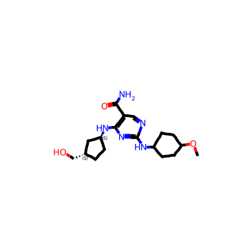 COC1CCC(Nc2ncc(C(N)=O)c(N[C@H]3CC[C@H](CO)C3)n2)CC1